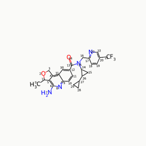 CC1OCc2c1c(N)nc1ccc(C(=O)N(Cc3ccc(C(F)(F)F)cn3)C3CC3C3CC3)cc21